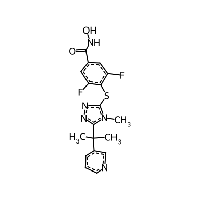 Cn1c(Sc2c(F)cc(C(=O)NO)cc2F)nnc1C(C)(C)c1cccnc1